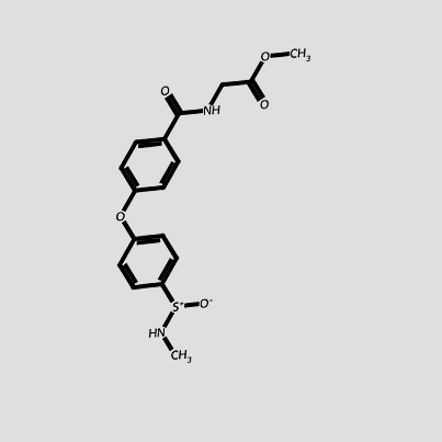 CN[S+]([O-])c1ccc(Oc2ccc(C(=O)NCC(=O)OC)cc2)cc1